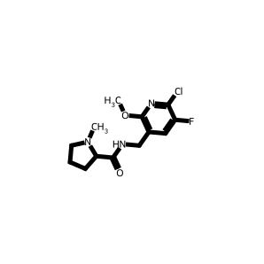 COc1nc(Cl)c(F)cc1CNC(=O)C1CCCN1C